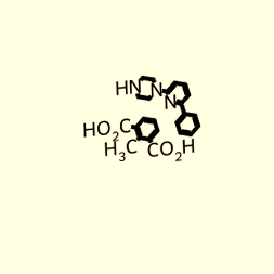 Cc1c(C(=O)O)cccc1C(=O)O.c1ccc(-c2cccc(N3CCNCC3)n2)cc1